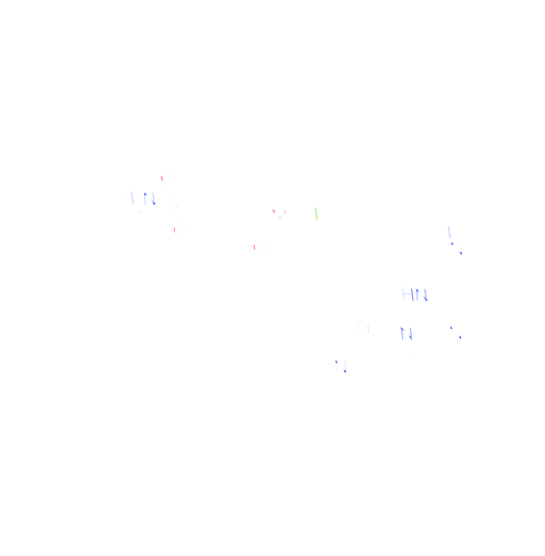 Cc1ccc2c(C3Oc4ccc(S(N)(=O)=O)cc4O3)c(F)ccc2c1Oc1ncccc1-c1ccnc(N[C@H]2CCCNC2)n1